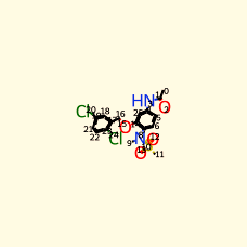 CC(=O)Nc1ccc(N(C)S(C)(=O)=O)c(OCc2cc(Cl)ccc2Cl)c1